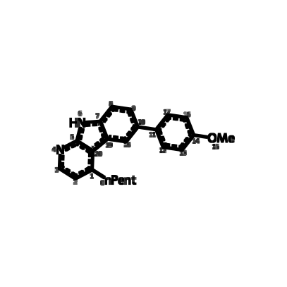 CCCCCc1ccnc2[nH]c3ccc(-c4ccc(OC)cc4)cc3c12